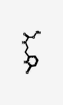 CC(C)(C)OC(=O)NCCc1cccc(=O)[nH]1